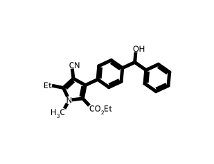 CCOC(=O)c1c(-c2ccc(C(O)c3ccccc3)cc2)c(C#N)c(CC)n1C